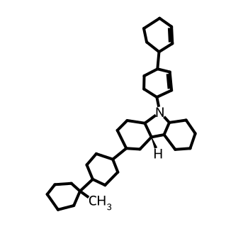 CC1(C2CCC(C3CCC4[C@@H](C3)C3CCCCC3N4C3C=CC(C4C=CCCC4)CC3)CC2)CCCCC1